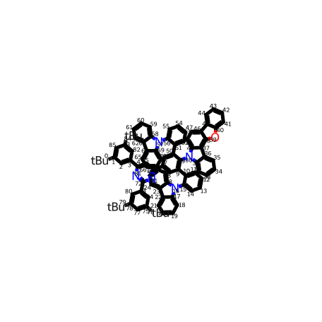 CC(C)(C)c1cc(-c2cc(-c3cc(-c4ccccc4-n4c5ccccc5c5ccccc54)c(-n4c5ccccc5c5c6oc7ccccc7c6ccc54)c(-c4ccccc4-n4c5ccccc5c5ccccc54)c3)nc(-c3cc(C(C)(C)C)cc(C(C)(C)C)c3)n2)cc(C(C)(C)C)c1